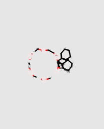 CC(C)(C)C1(C(C)(C)C)OCCOCCOCCOCCOCCOC1(C1CCCCC1)C1CCCCC1